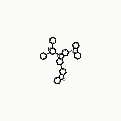 C1=Cc2c(c3ccccc3n2-c2ccc3c(c2)c2cc(-c4ccc5sc6ccccc6c5c4)ccc2n3-c2cc(-c3ccccc3)nc(-c3ccccc3)c2)CC1